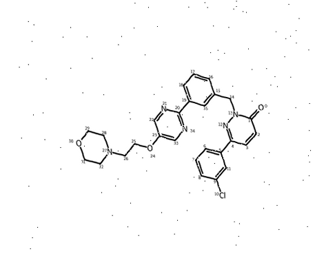 O=c1ccc(-c2cccc(Cl)c2)nn1Cc1cccc(-c2ncc(OCCN3CCOCC3)cn2)c1